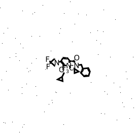 O=C(c1ccc(N2CC(F)(F)C2)c(OCC2CC2)n1)N(Cc1ccccc1)C1(C(F)(F)F)CC1